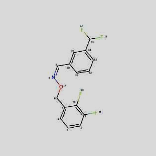 Fc1cccc(CO/N=[C]\c2cccc(C(F)F)c2)c1F